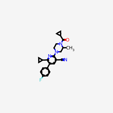 CC1CN(c2nc(C3CC3)c(-c3ccc(F)cc3)cc2C#N)CCN1C(=O)C1CC1